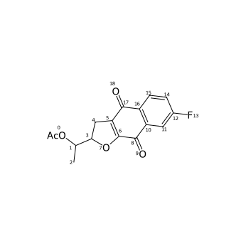 CC(=O)OC(C)C1CC2=C(O1)C(=O)c1cc(F)ccc1C2=O